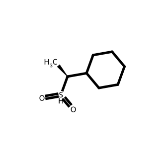 C[C@@H](C1CCCCC1)[SH](=O)=O